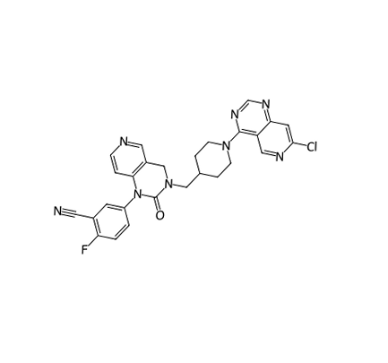 N#Cc1cc(N2C(=O)N(CC3CCN(c4ncnc5cc(Cl)ncc45)CC3)Cc3cnccc32)ccc1F